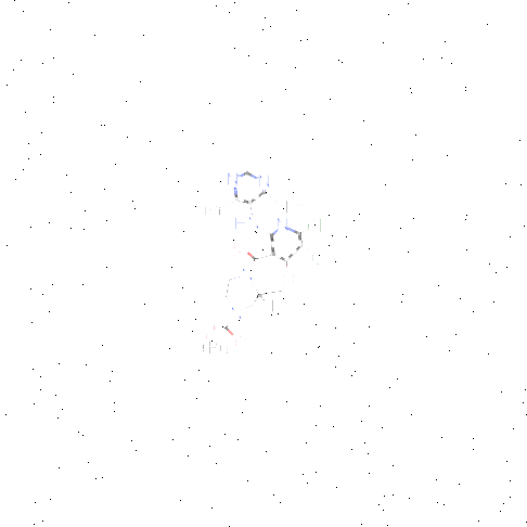 CC(C)c1ncnc(C(C)C)c1Nc1nc(Cl)c(Cl)c2c1C(=O)N1CCN(C(=O)OC(C)(C)C)C[C@@H]1CO2